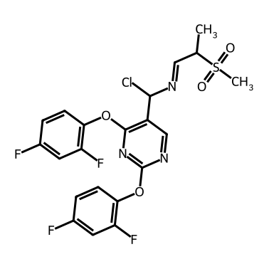 CC(C=NC(Cl)c1cnc(Oc2ccc(F)cc2F)nc1Oc1ccc(F)cc1F)S(C)(=O)=O